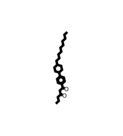 CCCCCCCCCCC1CCC(c2ccc(C(=O)CC(=O)CCC)cc2)CC1